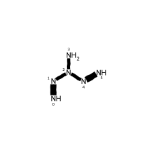 N=NN(N)N=N